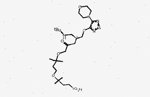 CC(C)(C)NC[C@@H](COc1nsnc1N1CCOCC1)CC(=O)COC(C)(C)CCOC(C)(C)CCS(=O)(=O)O